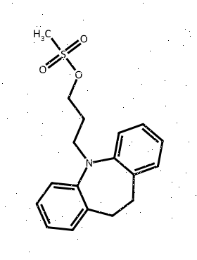 CS(=O)(=O)OCCCN1c2ccccc2CCc2ccccc21